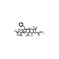 CC(C)[C@H](NC(=O)S)C(=O)N[C@@H](Cc1ccccc1)C(=O)N[C@H](C(=O)NC(CCC(N)=O)C(O)C(F)(F)F)C(C)C